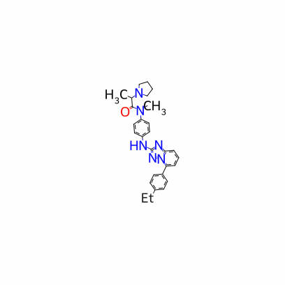 CCc1ccc(-c2cccc3nc(Nc4ccc(N(C)C(=O)C(C)N5CCCC5)cc4)nn23)cc1